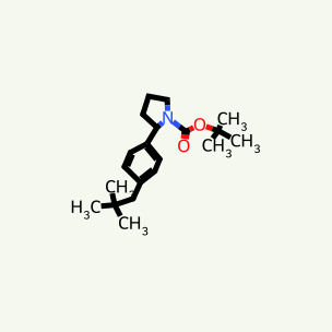 CC(C)(C)Cc1ccc(C2CCCN2C(=O)OC(C)(C)C)cc1